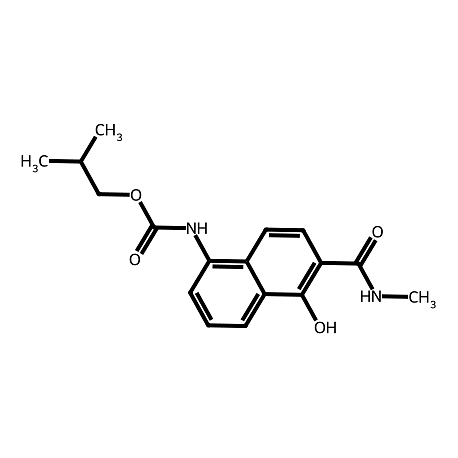 CNC(=O)c1ccc2c(NC(=O)OCC(C)C)cccc2c1O